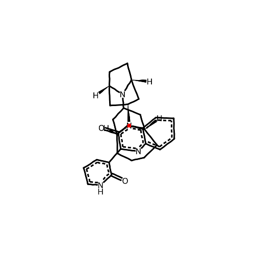 O=c1[nH]cccc1-c1nc2ccccc2n([C@@H]2C[C@H]3CC[C@@H](C2)N3C2C[C@H]3CCCC[C@@H](C2)C3)c1=O